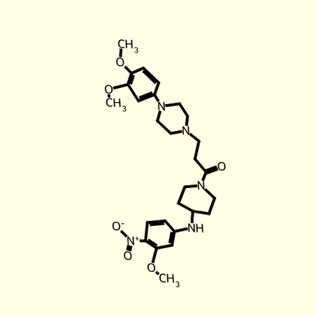 COc1ccc(N2CCN(CCC(=O)N3CCC(Nc4ccc([N+](=O)[O-])c(OC)c4)CC3)CC2)cc1OC